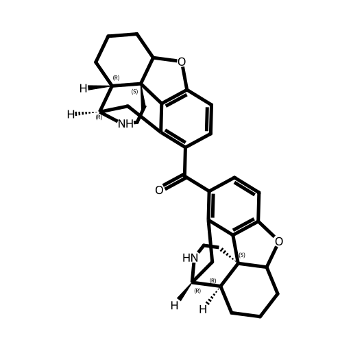 O=C(c1ccc2c3c1C[C@H]1NCC[C@@]34C(CCC[C@@H]14)O2)c1ccc2c3c1C[C@H]1NCC[C@@]34C(CCC[C@@H]14)O2